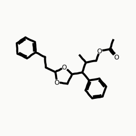 CC(=O)OCC(C)C(c1ccccc1)C1COC(CCc2ccccc2)O1